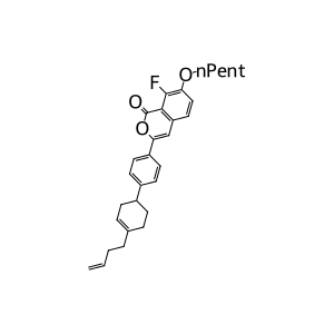 C=CCCC1=CCC(c2ccc(-c3cc4ccc(OCCCCC)c(F)c4c(=O)o3)cc2)CC1